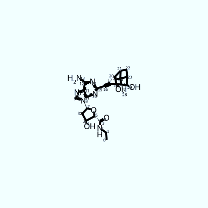 CCNC(=O)[C@H]1O[C@@H](n2cnc3c(N)nc(C#C[C@@]4(O)CC5CC(C5(C)C)[C@@]4(C)O)nc32)C[C@H]1O